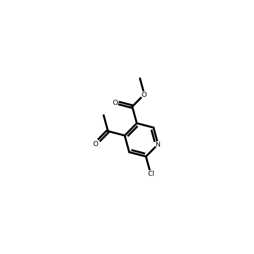 COC(=O)c1cnc(Cl)cc1C(C)=O